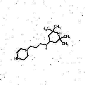 CC1(C)CC(NCCCN2CCNCC2)CC(C)(C)N1